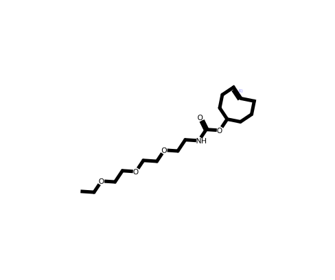 CCOCCOCCOCCNC(=O)OC1CC/C=C/CCC1